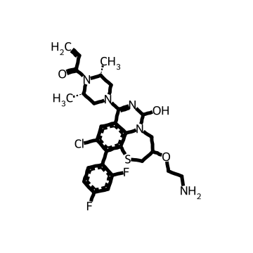 C=CC(=O)N1[C@H](C)CN(C2=NC(O)N3CC(OCCN)CSc4c(-c5ccc(F)cc5F)c(Cl)cc2c43)C[C@@H]1C